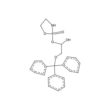 O=P1(OC(O)COC(c2ccccc2)(c2ccccc2)c2ccccc2)NCCO1